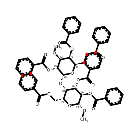 CO[C@@H]1O[C@H](COC(=O)c2ccccc2)[C@H](O[C@H]2O[C@H](COC(=O)c3ccccc3)[C@H](OC(=O)c3ccccc3)[C@H](OC)[C@H]2OC(=O)c2ccccc2)[C@H](OC(=O)c2ccccc2)[C@H]1OC(=O)c1ccccc1